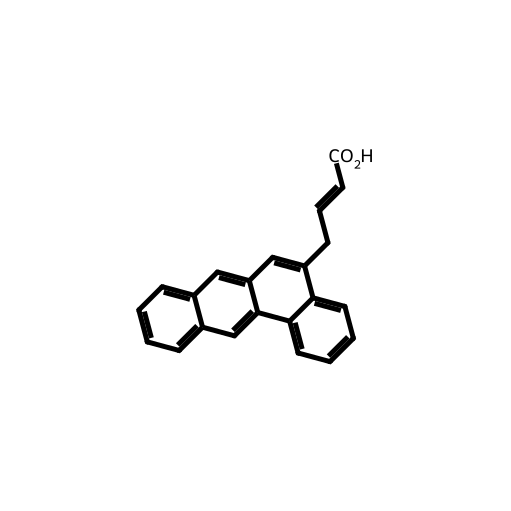 O=C(O)/C=C/Cc1cc2cc3ccccc3cc2c2ccccc12